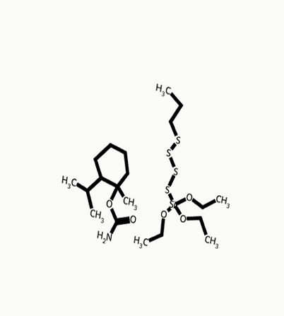 CC(C)C1CCCCC1(C)OC(N)=O.CCCSSSS[Si](OCC)(OCC)OCC